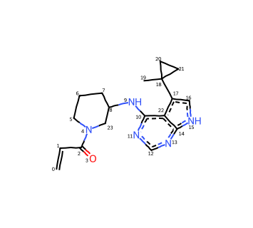 C=CC(=O)N1CCCC(Nc2ncnc3[nH]cc(C4(C)CC4)c23)C1